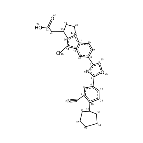 N#Cc1cc(-c2nc(-c3ccc4c(c3)c(Cl)c3n4CCC3CC(=O)O)no2)ccc1C1CCCCC1